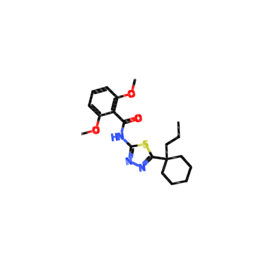 CCCC1(c2nnc(NC(=O)c3c(OC)cccc3OC)s2)CCCCC1